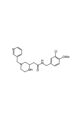 COc1ccc(CNC(=O)CC2CN(Cc3cccnc3)CCN2)cc1Cl